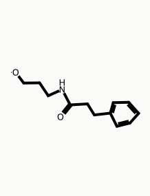 [O]CCCNC(=O)CCc1ccccc1